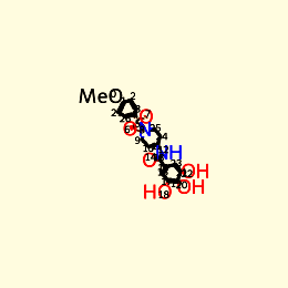 COc1ccc(S(=O)(=O)N2CCC(NC(=O)c3cc(O)c(O)c(O)c3)CC2)cc1